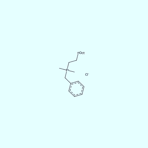 CCCCCCCCCC[P+](C)(C)Cc1ccccc1.[Cl-]